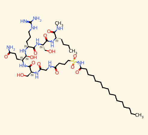 CCCCCCCCCCCCCCCC(=O)NS(=O)(=O)CCCC(=O)NCC(=O)N[C@@H](CO)C(=O)N[C@@H](CCC(N)=O)[C@H](O)N[C@@H](CCCNC(=N)N)C(=O)N[C@@H](CO)C(=O)N[C@@H](CCCC)C(=O)NC